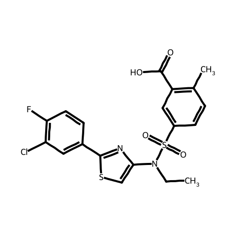 CCN(c1csc(-c2ccc(F)c(Cl)c2)n1)S(=O)(=O)c1ccc(C)c(C(=O)O)c1